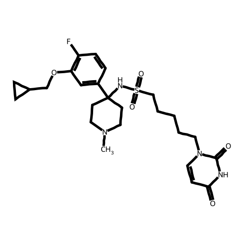 CN1CCC(NS(=O)(=O)CCCCCn2ccc(=O)[nH]c2=O)(c2ccc(F)c(OCC3CC3)c2)CC1